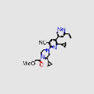 C=Cc1cc(-c2cc(C#N)c(N3CCN(C(=O)COC)[C@H](C4CC4)C3)nc2C2CC2)cnn1